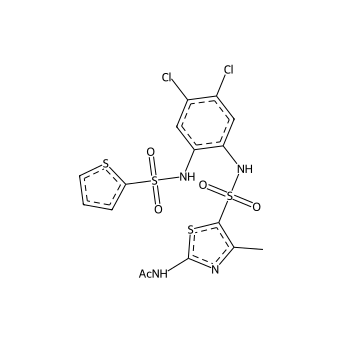 CC(=O)Nc1nc(C)c(S(=O)(=O)Nc2cc(Cl)c(Cl)cc2NS(=O)(=O)c2cccs2)s1